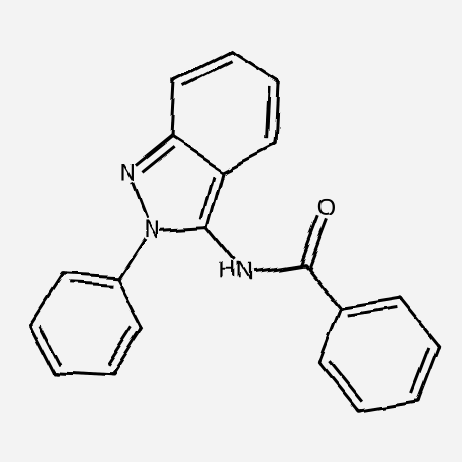 O=C(Nc1c2ccccc2nn1-c1ccccc1)c1ccccc1